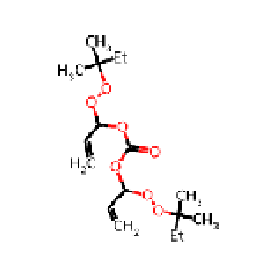 C=CC(OOC(C)(C)CC)OC(=O)OC(C=C)OOC(C)(C)CC